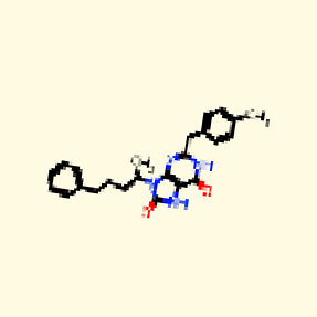 Cc1ccc(Cc2nc3c([nH]c(=O)n3C(C)CCCc3ccccc3)c(=O)[nH]2)cc1